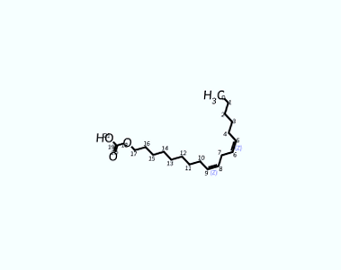 CCCCC/C=C\C/C=C\CCCCCCCCOC(=O)O